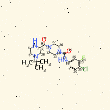 CC(C)(C)N1CCN[C@@H](C(=O)N2CCN(C(=O)Nc3ccc(Cl)c(F)c3)CC2)C1